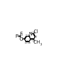 Cc1cc(Cl)nc2cc(OC(F)F)ccc12